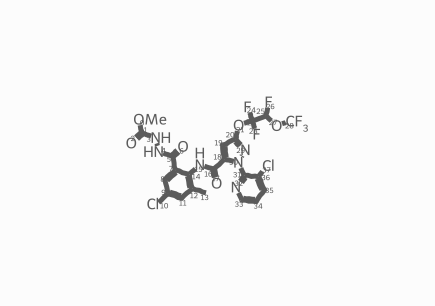 COC(=O)NNC(=O)c1cc(Cl)cc(C)c1NC(=O)c1cc(OC(F)(F)C(F)OC(F)(F)F)nn1-c1ncccc1Cl